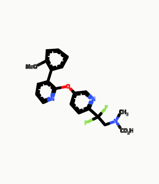 COc1ccccc1-c1cccnc1Oc1ccc(C(F)(F)CN(C)C(=O)O)nc1